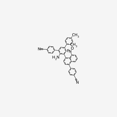 CON(F)c1cccc2c(-c3ccc(C#N)cc3)ccc(-c3cc(-c4ccc(C)cc4)cc(-c4ccc(C#N)cc4)c3N)c12